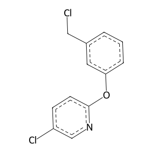 ClCc1cccc(Oc2ccc(Cl)cn2)c1